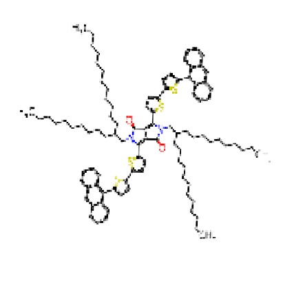 CCCCCCCCCCCCC(CCCCCCCCCC)CN1C(=O)C2=C(c3ccc(-c4ccc(-c5c6ccccc6cc6ccccc56)s4)s3)N(CC(CCCCCCCCCC)CCCCCCCCCCCC)C(=O)C2=C1c1ccc(-c2ccc(-c3c4ccccc4cc4ccccc34)s2)s1